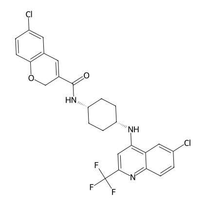 O=C(N[C@H]1CC[C@@H](Nc2cc(C(F)(F)F)nc3ccc(Cl)cc23)CC1)C1=Cc2cc(Cl)ccc2OC1